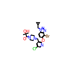 CC(C)(O)C(=O)N1CCN(Cc2cc(Cl)cnc2Oc2ccc3c(nnn3CC3CC3)c2Br)CC1